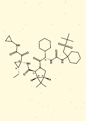 CC[C@@H]1C[C@@]1(NC(=O)[C@@H]1[C@@H]2[C@H](CN1C(=O)[C@@H](NC(=O)NC1(CS(=O)(=O)C(C)(C)C)CCCCC1)C1CCCCC1)C2(C)C)C(=O)C(=O)NC1CC1